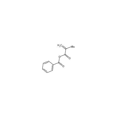 C=C(C(=O)OC(=O)c1ccccc1)C(C)(C)C